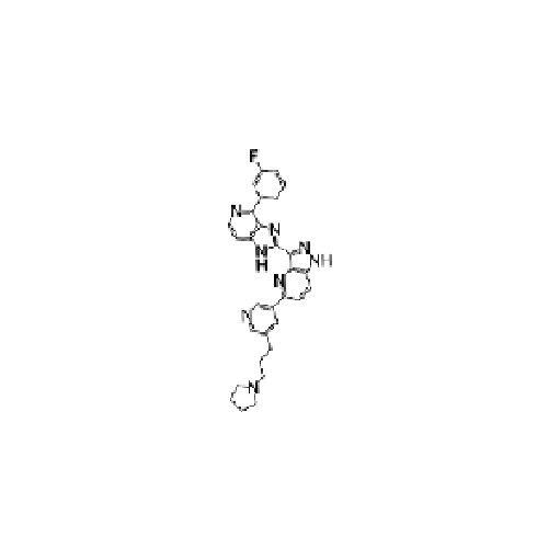 Fc1cccc(-c2nccc3[nH]c(-c4n[nH]c5ccc(-c6cncc(CCCN7CCCC7)c6)nc45)nc23)c1